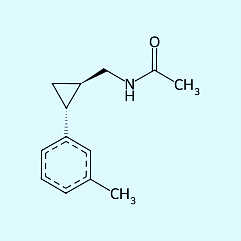 CC(=O)NC[C@@H]1C[C@H]1c1cccc(C)c1